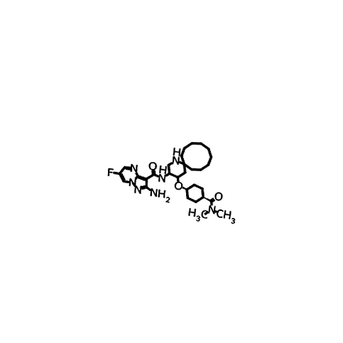 CN(C)C(=O)[C@H]1CC[C@@H](OC2CC3(CCCCCCCCC3)NCC2NC(=O)c2c(N)nn3cc(F)cnc23)CC1